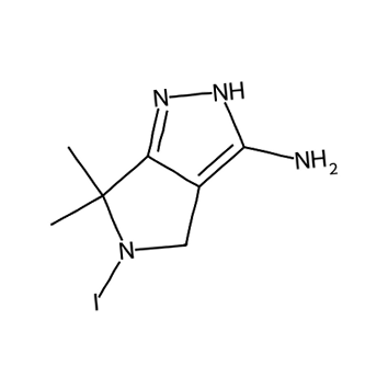 CC1(C)c2n[nH]c(N)c2CN1I